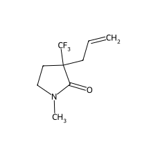 C=CCC1(C(F)(F)F)CCN(C)C1=O